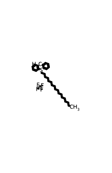 CCCCCCCCCCCCCCCCCC[S+](c1ccccc1)c1ccccc1C.F[B-](F)(F)F